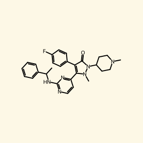 CC(Nc1nccc(-c2c(-c3ccc(F)cc3)c(=O)n(C3CCN(C)CC3)n2C)n1)c1ccccc1